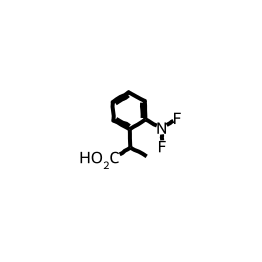 CC(C(=O)O)c1ccccc1N(F)F